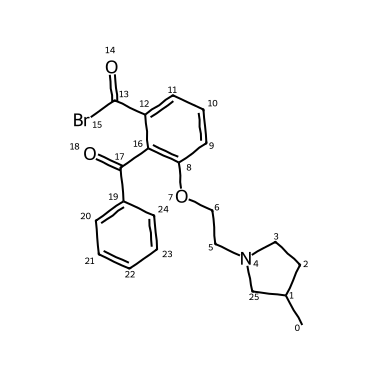 CC1CCN(CCOc2cccc(C(=O)Br)c2C(=O)c2ccccc2)C1